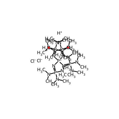 CN(C)P(=N[P+](N=P(N(C)C)(N(C)C)N(C)C)(N=P(N(C)C)(N(C)C)N(C)C)N=P(N(C)C)(N(C)C)N(C)C)(N(C)C)N(C)C.[Cl-].[Cl-].[H+]